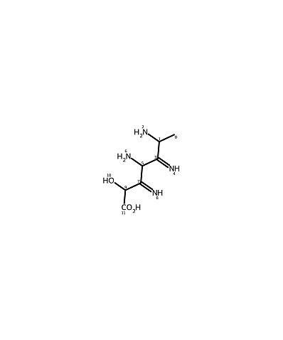 CC(N)C(=N)C(N)C(=N)C(O)C(=O)O